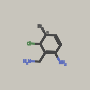 CC[C@H]1C=CC(N)=C(CN)C1Cl